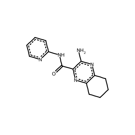 Nc1nc2c(nc1C(=O)Nc1ccccn1)CCCC2